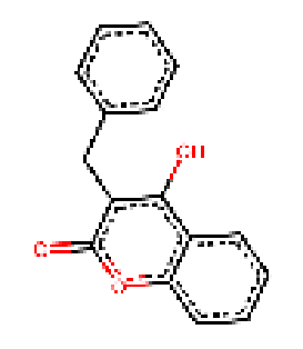 O=c1oc2ccccc2c(O)c1Cc1[c]cccc1